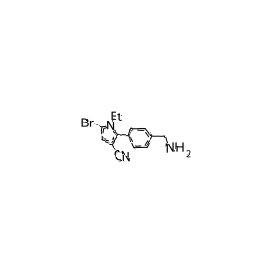 CCn1c(Br)cc(C#N)c1-c1ccc(CN)cc1